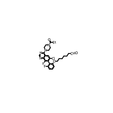 CCC(=O)N1CCN(c2ncnc3c(F)c(-c4c(F)cccc4OCCCCCCC=O)c(Cl)cc23)CC1